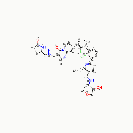 COc1nc(-c2cccc(-c3cccc(-c4ccn5c(=O)c(CNC[C@H]6CCC(=O)N6)c(C)nc5c4)c3Cl)c2Cl)ccc1CN[C@@H]1CCOC[C@@H]1O